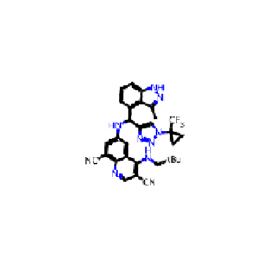 Cc1n[nH]c2cccc(C(Nc3cc(C#N)c4ncc(C#N)c(NCC(C)(C)C)c4c3)c3cn(C4(C(F)(F)F)CC4)nn3)c12